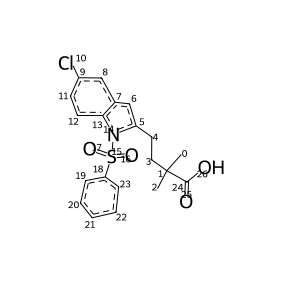 CC(C)(CCc1cc2cc(Cl)ccc2n1S(=O)(=O)c1ccccc1)C(=O)O